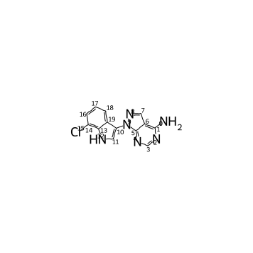 Nc1ncnc2c1cnn2-c1c[nH]c2c(Cl)cccc12